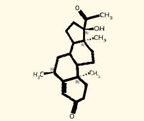 CC(=O)[C@@]1(O)CCC2C3C[C@H](C)C4=CC(=O)CC[C@]4(C)C3CC[C@@]21C